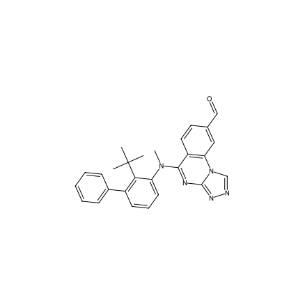 CN(c1cccc(-c2ccccc2)c1C(C)(C)C)c1nc2nncn2c2cc(C=O)ccc12